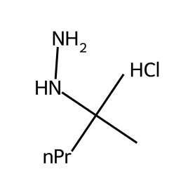 CCCC(C)(C)NN.Cl